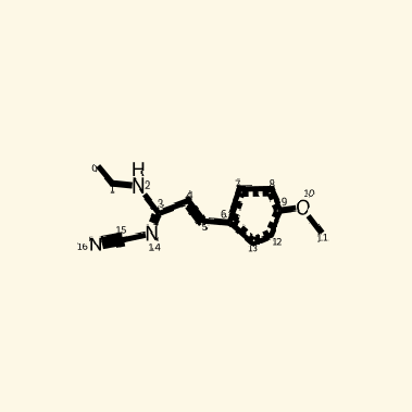 CCNC(C=Cc1ccc(OC)cc1)=NC#N